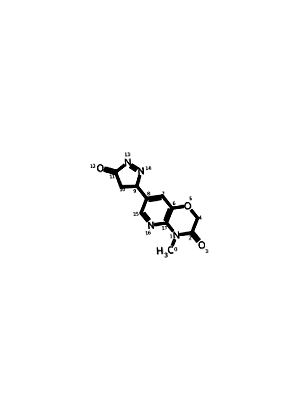 CN1C(=O)COc2cc(C3CC(=O)N=N3)cnc21